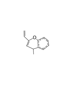 C=CC1=CC(C)c2ccccc2O1